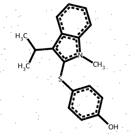 CC(C)c1c(Sc2ccc(O)cc2)n(C)c2ccccc12